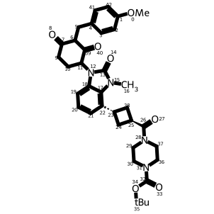 COc1ccc(CC2C(=O)CCC(n3c(=O)n(C)c4c3cccc4[C@H]3C[C@H](C(=O)N4CCN(C(=O)OC(C)(C)C)CC4)C3)C2=O)cc1